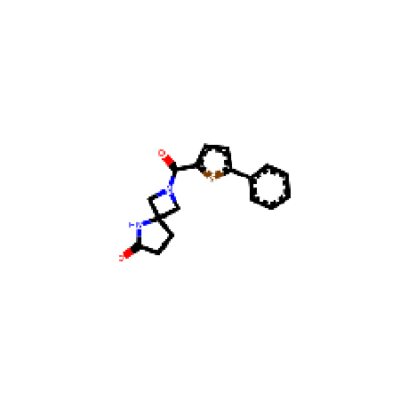 O=C1CCC2(CN(C(=O)c3ccc(-c4ccccc4)s3)C2)N1